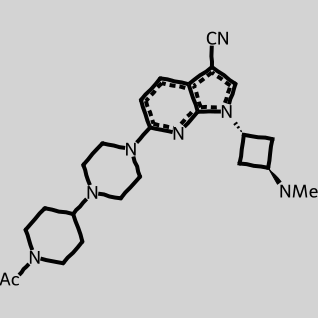 CN[C@H]1C[C@H](n2cc(C#N)c3ccc(N4CCN(C5CCN(C(C)=O)CC5)CC4)nc32)C1